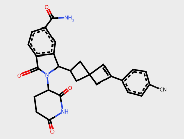 N#Cc1ccc(C2=CC3(C2)CC(C2c4cc(C(N)=O)ccc4C(=O)N2C2CCC(=O)NC2=O)C3)cc1